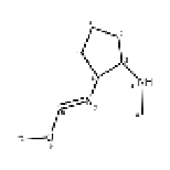 CNC1CCCC1N=COC